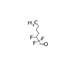 CCCCC(F)C(F)(F)[C]=O